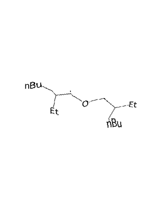 CCCCC([CH]OCC(CC)CCCC)CC